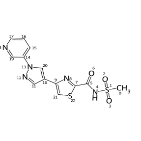 CS(=O)(=O)NC(=O)c1nc(-c2cnn(-c3cccnc3)c2)cs1